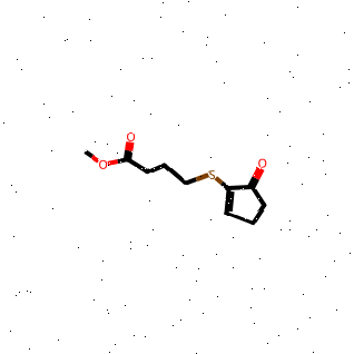 COC(=O)CCCSC1=CCCC1=O